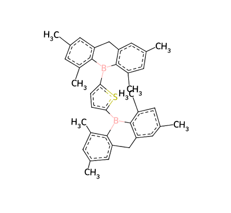 Cc1cc(C)c2c(c1)Cc1cc(C)cc(C)c1B2c1ccc(B2c3c(C)cc(C)cc3Cc3cc(C)cc(C)c32)s1